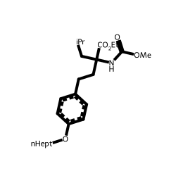 CCCCCCCOc1ccc(CCC(CC(C)C)(NC(=O)OC)C(=O)OCC)cc1